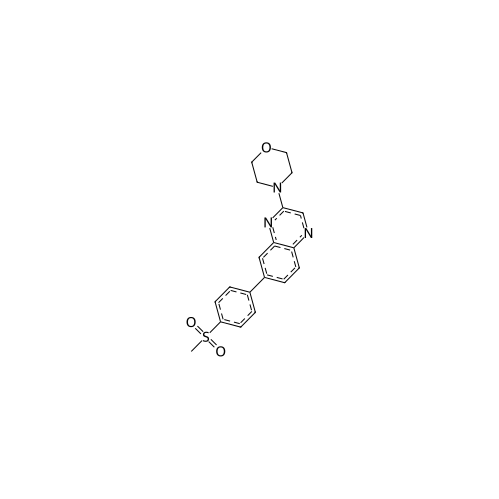 CS(=O)(=O)c1ccc(-c2ccc3ncc(N4CCOCC4)nc3c2)cc1